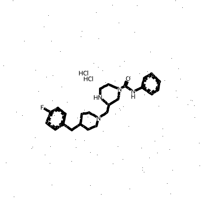 Cl.Cl.O=C(Nc1ccccc1)N1CCNC(CN2CCC(Cc3ccc(F)cc3)CC2)C1